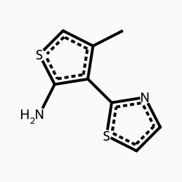 Cc1csc(N)c1-c1nccs1